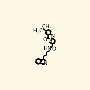 CC(C)c1ccc2nc3ccc(C(=O)NCCCCc4cncc5ccccc45)cn3c(=O)c2c1